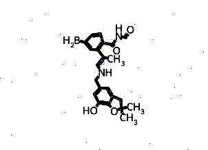 Bc1ccc(C(=O)NC=O)c(/C(C)=C/NCc2cc(O)c3c(c2)CC(C)(C)O3)c1